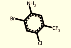 Nc1cc(C(F)(F)F)c(Cl)cc1Br